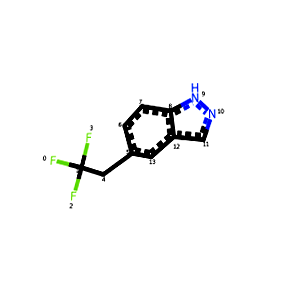 FC(F)(F)Cc1ccc2[nH]ncc2c1